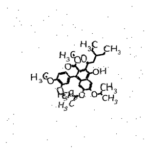 CCC(CC)CC(=O)c1c(C(=O)OC)c(-c2ccc(OC)c(OC)c2)c2cc(OC(C)C)c(OC(C)C)cc2c1O